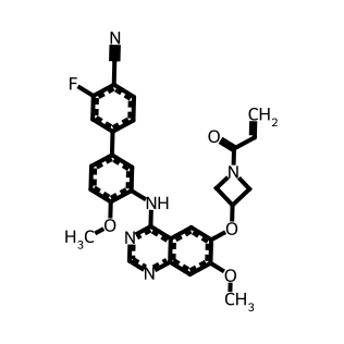 C=CC(=O)N1CC(Oc2cc3c(Nc4cc(-c5ccc(C#N)c(F)c5)ccc4OC)ncnc3cc2OC)C1